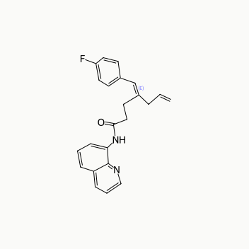 C=CC/C(=C/c1ccc(F)cc1)CCC(=O)Nc1cccc2cccnc12